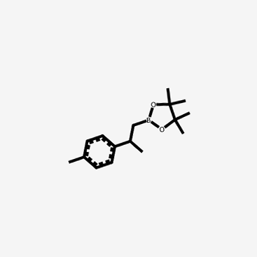 Cc1ccc(C(C)CB2OC(C)(C)C(C)(C)O2)cc1